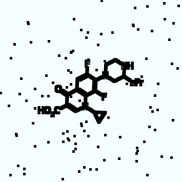 CCCC1CN(c2c(F)cc3c(=O)c(C(=O)O)cn(C4CC4)c3c2F)CCN1